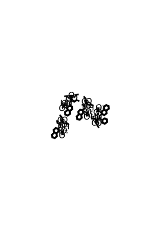 CCCC(Nc1ccc2ccccc2c1[N+](=O)[O-])P(=O)(OCC)OCC.CCOP(=O)(OCC)C(C)Nc1ccc2ccccc2c1[N+](=O)[O-].CCOP(=O)(OCC)C(CC)Nc1ccc2ccccc2c1[N+](=O)[O-].CCOP(=O)(OCC)C(Nc1ccc2ccccc2c1[N+](=O)[O-])c1ccccc1